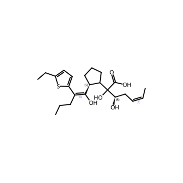 C/C=C\C[C@@H](O)C(O)(C(=O)O)C1CCC[C@@H]1/C(O)=C(/CCC)c1ccc(CC)s1